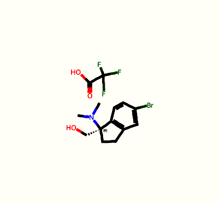 CN(C)[C@]1(CO)CCc2cc(Br)ccc21.O=C(O)C(F)(F)F